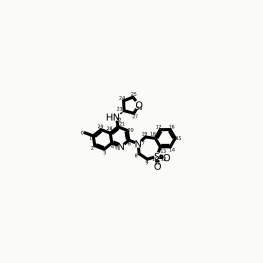 Cc1ccc2nc(N3CCS(=O)(=O)c4ccccc4C3)cc(N[C@@H]3CCOC3)c2c1